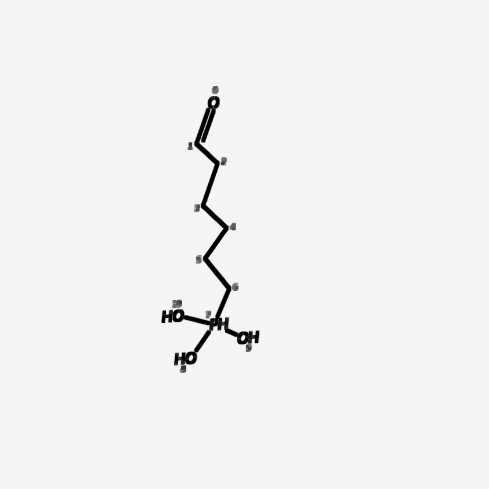 O=CCCCCC[PH](O)(O)O